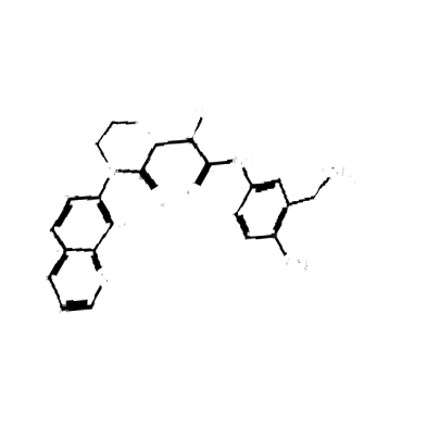 N#Cc1ccc(NC(=O)[C@H](O)[C@H]2OCCN(c3ccc4cccnc4c3)C2=O)cc1CN